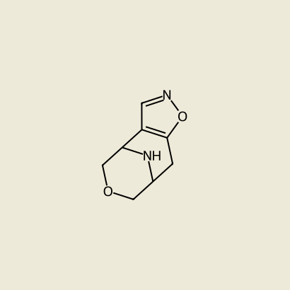 c1noc2c1C1COCC(C2)N1